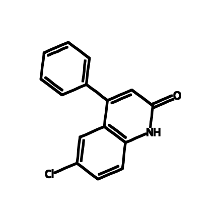 O=c1cc(-c2ccccc2)c2cc(Cl)ccc2[nH]1